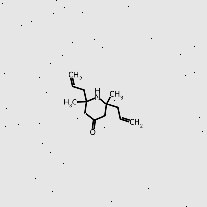 C=CCC1(C)CC(=O)CC(C)(CC=C)N1